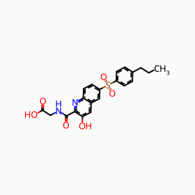 CCCc1ccc(S(=O)(=O)c2ccc3nc(C(=O)NCC(=O)O)c(O)cc3c2)cc1